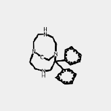 c1ccc(C2(c3ccccc3)CNCCN3CCNCCN2CC3)cc1